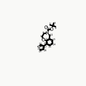 CC(C)(C)OC(=O)N1CCOc2c(cccc2-c2ccsc2)C1